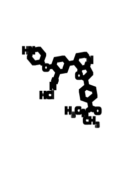 CN(C)C(=O)c1ccc(-c2cc3nccc(-c4ccc(OC5CCNCC5)c(C#N)c4)c3o2)cc1.Cl